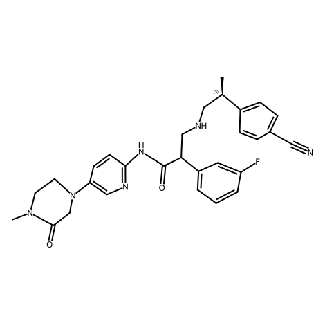 C[C@H](CNCC(C(=O)Nc1ccc(N2CCN(C)C(=O)C2)cn1)c1cccc(F)c1)c1ccc(C#N)cc1